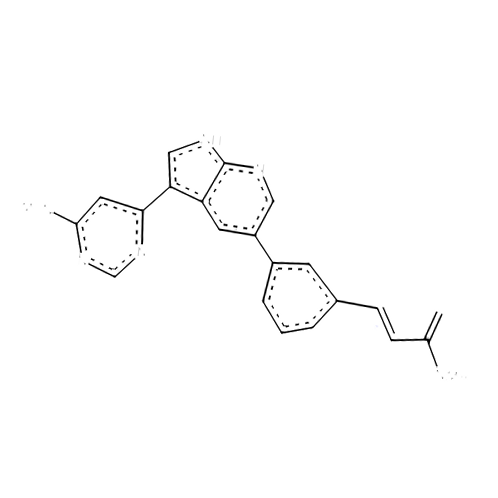 CNC(=O)/C=C/c1cccc(-c2cnc3[nH]cc(-c4cc(NC)ncn4)c3c2)c1